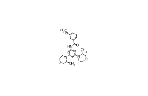 COc1cccc(C(=O)Nc2nc(N3CCOC[C@@H]3C)cc(N3CCOC[C@@H]3C)n2)c1